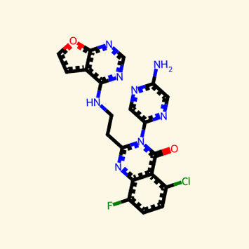 Nc1cnc(-n2c(CCNc3ncnc4occc34)nc3c(F)ccc(Cl)c3c2=O)cn1